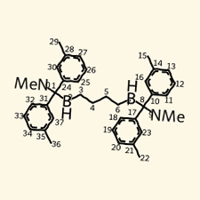 CNC(BCCCCBC(NC)(c1cccc(C)c1)c1cccc(C)c1)(c1cccc(C)c1)c1cccc(C)c1